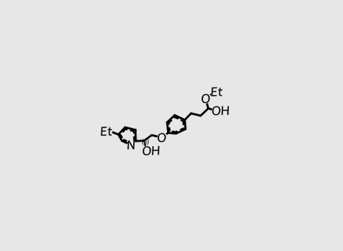 CCOC(O)CCc1ccc(OC[C@@H](O)c2ccc(CC)cn2)cc1